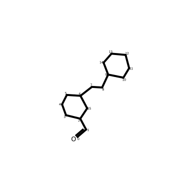 O=CC1CCCC(CCC2CCCCC2)C1